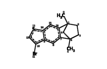 CC12CCC(C)(C1)c1cc3c(Br)csc3cc12